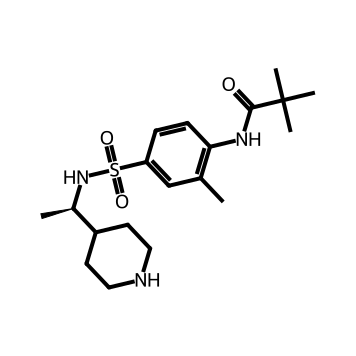 Cc1cc(S(=O)(=O)N[C@H](C)C2CCNCC2)ccc1NC(=O)C(C)(C)C